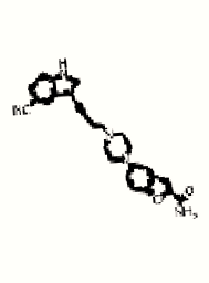 N#Cc1ccc2[nH]cc(C#CCCN3CCN(c4ccc5oc(C(N)=O)cc5c4)CC3)c2c1